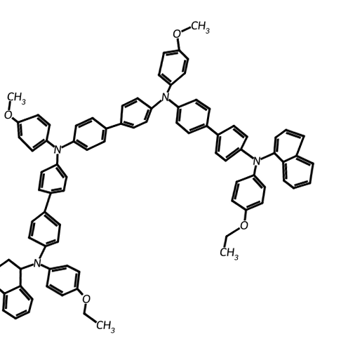 CCOc1ccc(N(c2ccc(-c3ccc(N(c4ccc(OC)cc4)c4ccc(-c5ccc(N(c6ccc(OC)cc6)c6ccc(-c7ccc(N(c8ccc(OCC)cc8)C8CC=Cc9ccccc98)cc7)cc6)cc5)cc4)cc3)cc2)c2cccc3ccccc23)cc1